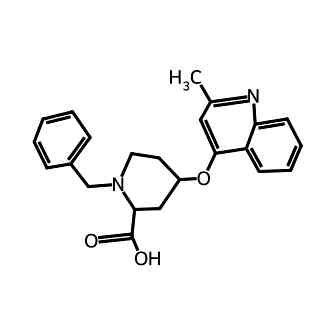 Cc1cc(OC2CCN(Cc3ccccc3)C(C(=O)O)C2)c2ccccc2n1